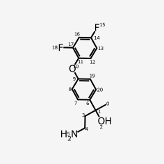 CC(O)(CCN)c1ccc(Oc2ccc(F)cc2F)cc1